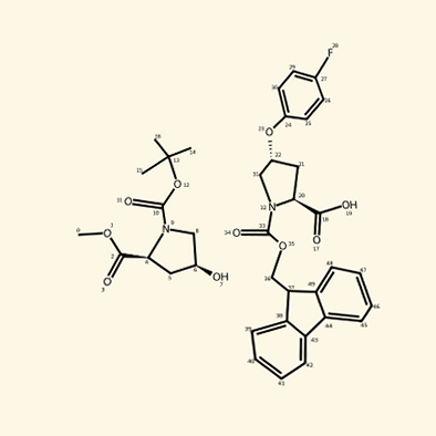 COC(=O)[C@@H]1C[C@H](O)CN1C(=O)OC(C)(C)C.O=C(O)[C@@H]1C[C@@H](Oc2ccc(F)cc2)CN1C(=O)OCC1c2ccccc2-c2ccccc21